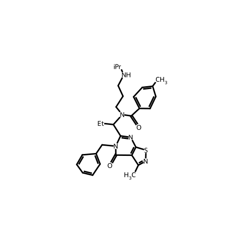 CCC(c1nc2snc(C)c2c(=O)n1Cc1ccccc1)N(CCCNC(C)C)C(=O)c1ccc(C)cc1